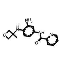 CC1(Nc2ccc(NC(=O)c3ccccn3)cc2N)COC1